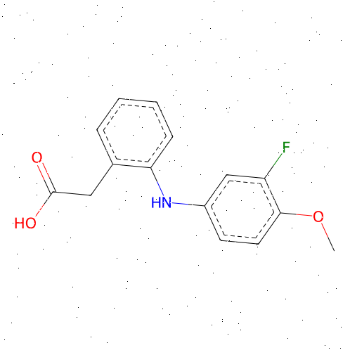 COc1ccc(Nc2ccccc2CC(=O)O)cc1F